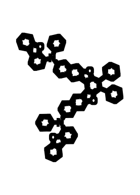 c1ccc(-c2c(-c3ccccc3)c3oc4cc5cc(N(c6ccccc6)c6cccc7c6oc6ccccc67)ccc5cc4c3c3c2oc2cc4cc(N(c5ccccc5)c5cccc6c5oc5ccccc56)ccc4cc23)cc1